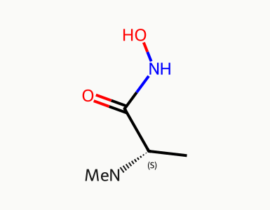 CN[C@@H](C)C(=O)NO